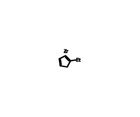 CCC1=CC=CC1.[Zr]